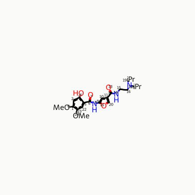 COc1cc(O)c(C(=O)Nc2cc(C(=O)NCCN(C(C)C)C(C)C)co2)cc1OC